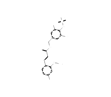 CCCCNc1cc(F)ccc1/C=C/C(=O)NCc1cc(C)c(NS(C)(=O)=O)c(F)c1